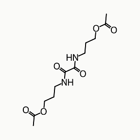 CC(=O)OCCCNC(=O)C(=O)NCCCOC(C)=O